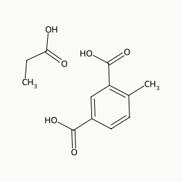 CCC(=O)O.Cc1ccc(C(=O)O)cc1C(=O)O